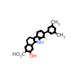 Cc1cc(C)cc(-c2ccc3c4c([nH]c3c2F)-c2cc(O)c(C(=O)O)cc2CC4)c1